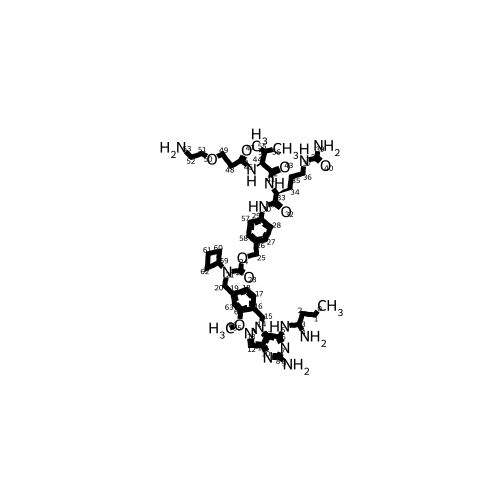 CCCC(N)Nc1nc(N)nc2cnn(Cc3ccc(CN(C(=O)OCc4ccc(NC(=O)[C@H](CCCNC(N)=O)NC(=O)[C@H](NC(=O)CCOCCN)C(C)C)cc4)C4CCC4)cc3OC)c12